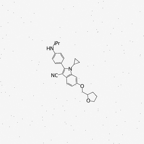 CC(C)Nc1ccc(-c2c(C#N)c3ccc(OCC4CCCO4)cc3n2C2CC2)cc1